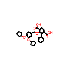 O=C(O)c1ccc(C(=O)O)c(-c2ccccc2)c1OCc1ccc(OC2CCCC2)c(OC2CCCC2)c1